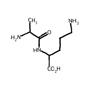 CC(N)C(=O)NC(CCCN)C(=O)O